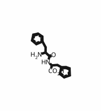 NC(Cc1ccccc1)C(=O)NC(Cc1ccccc1)C(=O)O